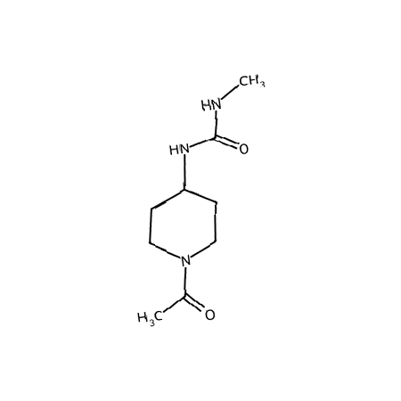 CNC(=O)NC1CCN(C(C)=O)CC1